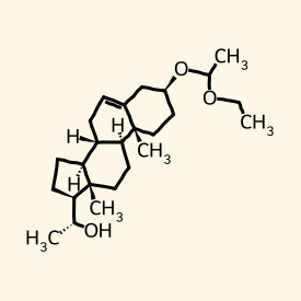 CCOC(C)O[C@H]1CC[C@@]2(C)C(=CC[C@H]3[C@@H]4CC[C@H]([C@@H](C)O)[C@@]4(C)CC[C@@H]32)C1